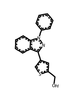 OCc1cc(-c2nn(-c3ccccc3)c3ccccc23)cs1